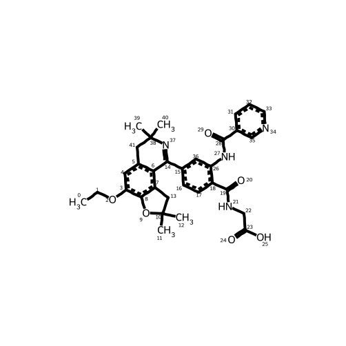 CCOc1cc2c(c3c1OC(C)(C)C3)C(c1ccc(C(=O)NCC(=O)O)c(NC(=O)c3cccnc3)c1)=NC(C)(C)C2